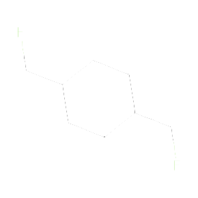 FCC1[CH]CC(CF)[CH]C1